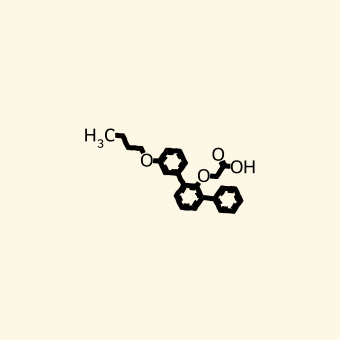 CCCCOc1cccc(-c2cccc(-c3ccccc3)c2OCC(=O)O)c1